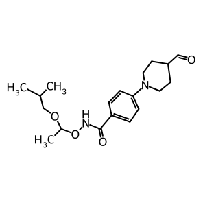 CC(C)COC(C)ONC(=O)c1ccc(N2CCC(C=O)CC2)cc1